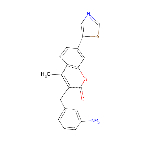 Cc1c(Cc2cccc(N)c2)c(=O)oc2cc(-c3cncs3)ccc12